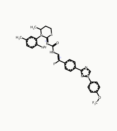 CCCc1ccc(C)cc1N1/C(=N/C(=O)N/C=C(\F)c2ccc(-c3ncn(-c4ccc(OC(F)(F)F)cc4)n3)cc2)SCCC1C